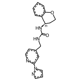 O=C(NCc1ccnc(-n2cccn2)c1)N[C@@H]1CCOc2ccccc21